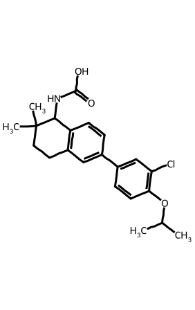 CC(C)Oc1ccc(-c2ccc3c(c2)CCC(C)(C)C3NC(=O)O)cc1Cl